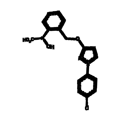 O=C(O)N(O)c1ccccc1COc1ccn(-c2ccc(Cl)cc2)n1